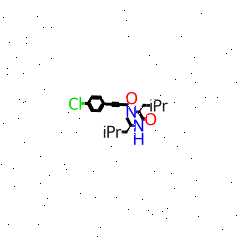 CC(C)C[C@H]1CN(C(=O)C#Cc2ccc(Cl)cc2)[C@@H](CC(C)C)C(=O)N1